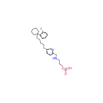 O=[PH](O)OCCCNCc1ccc(SCCCCC2(c3ccccc3F)CCCCC2)cn1